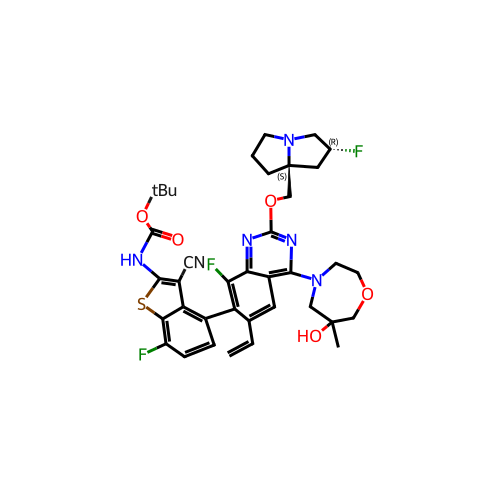 C=Cc1cc2c(N3CCOCC(C)(O)C3)nc(OC[C@@]34CCCN3C[C@H](F)C4)nc2c(F)c1-c1ccc(F)c2sc(NC(=O)OC(C)(C)C)c(C#N)c12